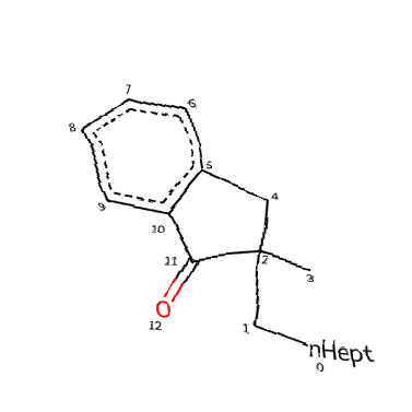 CCCCCCCCC1(C)Cc2ccccc2C1=O